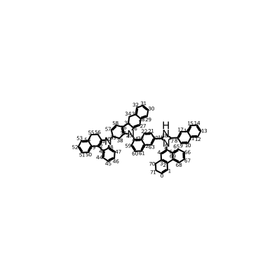 C1=Cc2c(cc(N3C(c4ccc5ccccc5c4)NC3c3ccc4c(N5C6=Cc7ccccc7CC6C6=C5CC(n5c7c(c8ccccc85)-c5ccccc5CC7)C=C6)cccc4c3)c3ccccc23)CC1